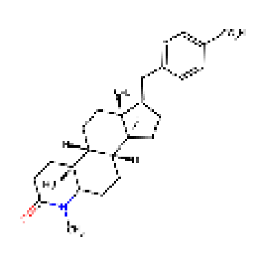 CN1C(=O)CC[C@@]2(C)C1CC[C@@H]1[C@H]2CC[C@]2(C)C(=Cc3ccc(C(=O)O)cc3)CC[C@@H]12